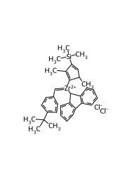 CC1=[C](/[Zr+2](=[CH]/c2ccc(C(C)(C)C)cc2)[CH]2c3ccccc3-c3ccccc32)C(C)C=C1[Si](C)(C)C.[Cl-].[Cl-]